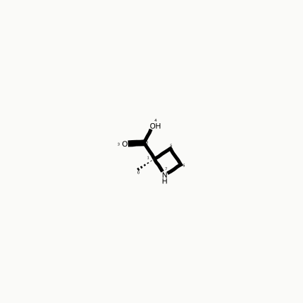 C[C@]1(C(=O)O)CCN1